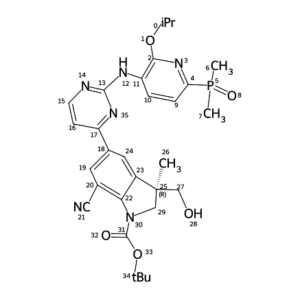 CC(C)Oc1nc(P(C)(C)=O)ccc1Nc1nccc(-c2cc(C#N)c3c(c2)[C@@](C)(CO)CN3C(=O)OC(C)(C)C)n1